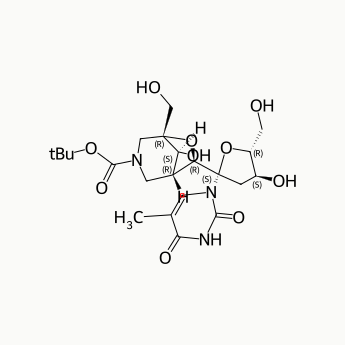 Cc1cn([C@@]2([C@@H]3O[C@@]4(CO)CN(C(=O)OC(C)(C)C)C[C@@H]3[C@@H]4O)C[C@H](O)[C@@H](CO)O2)c(=O)[nH]c1=O